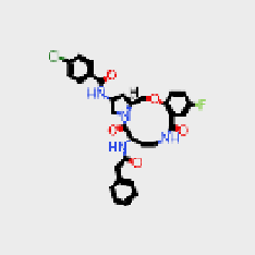 O=C(Cc1ccccc1)N[C@H]1CCNC(=O)c2cc(F)ccc2OC[C@@H]2C[C@H](NC(=O)c3ccc(Cl)cc3)CN2C1=O